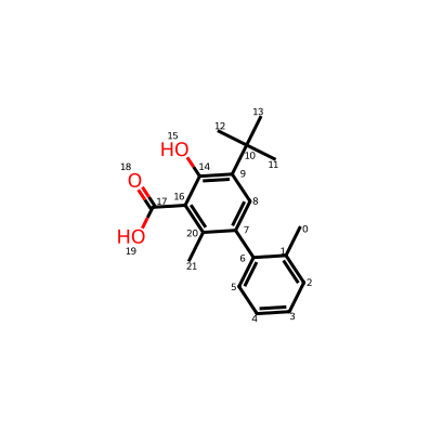 Cc1ccccc1-c1cc(C(C)(C)C)c(O)c(C(=O)O)c1C